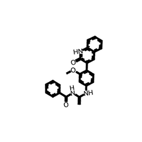 C=C(NC(=O)c1ccccc1)Nc1ccc(-c2cc3ccccc3[nH]c2=O)c(OC)c1